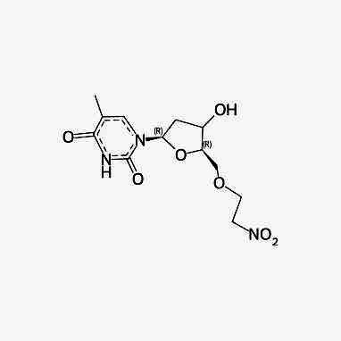 Cc1cn([C@H]2CC(O)[C@@H](COCC[N+](=O)[O-])O2)c(=O)[nH]c1=O